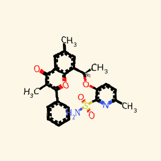 Cc1cc([C@@H](C)Oc2ccc(C)nc2S(N)(=O)=O)c2oc(-c3ccccc3)c(C)c(=O)c2c1